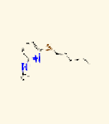 [C-]#[N+]c1cccc(SCCCCC)n1